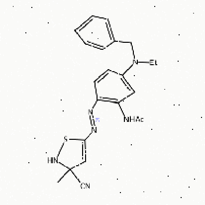 CCN(Cc1ccccc1)c1ccc(/N=N/C2=CC(C)(C#N)NS2)c(NC(C)=O)c1